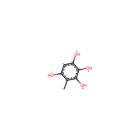 Cc1c(O)cc(O)c(O)c1O